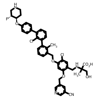 Cc1c(COc2cc(OCc3cncc(C#N)c3)c(CNC(C)(CO)C(=O)O)cc2Cl)cccc1-c1cccc(-c2ccc(O[C@@H]3CCNC[C@H]3F)cc2)c1Cl